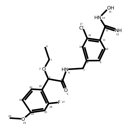 CCOC(C(=O)NCc1ccc(C(=N)NO)c(Cl)c1)c1ccc(OC)cc1F